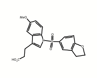 COc1ccc2c(c1)c(CCC(=O)O)cn2S(=O)(=O)c1ccc2c(c1)CCO2